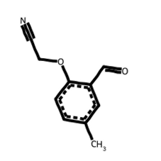 Cc1ccc(OCC#N)c(C=O)c1